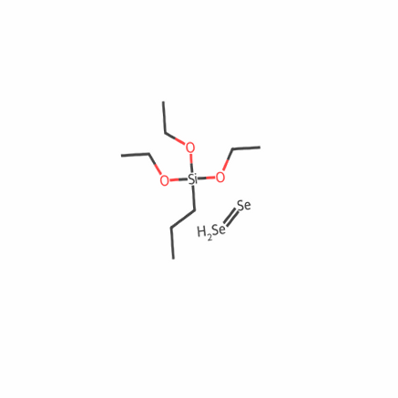 CCC[Si](OCC)(OCC)OCC.[Se]=[SeH2]